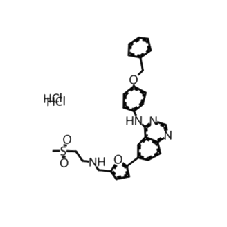 CS(=O)(=O)CCNCc1ccc(-c2ccc3ncnc(Nc4ccc(OCc5ccccc5)cc4)c3c2)o1.Cl.Cl